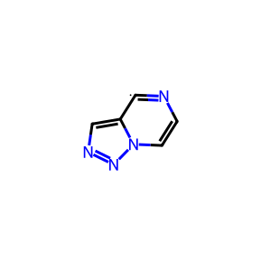 [c]1nccn2nncc12